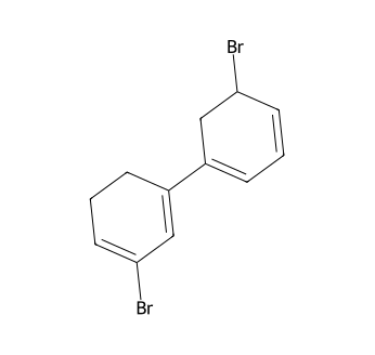 BrC1=CCCC(C2=CC=CC(Br)C2)=C1